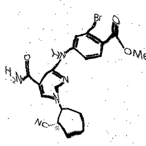 COC(=O)c1ccc(Nc2nn(C3CCC[C@@H]3C#N)cc2C(N)=O)cc1Br